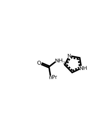 CCCC(N)=O.c1c[nH]cn1